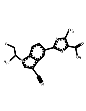 Cc1nc(-c2ccc3c(c2)c(C#N)cn3C(C)CF)sc1C(=O)O